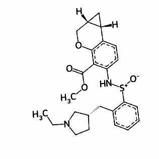 CCN1CC[C@@H](Cc2ccccc2[S+]([O-])Nc2ccc3c(c2C(=O)OC)OC[C@@H]2C[C@H]32)C1